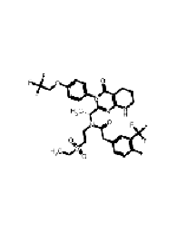 CCS(=O)(=O)CCN(C(=O)Cc1ccc(F)c(C(F)(F)F)c1)[C@H](C)c1nc2c(c(=O)n1-c1ccc(OCC(F)(F)F)cc1)CCCN2